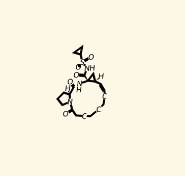 O=C1N[C@]2(C(=O)NS(=O)(=O)C3CC3)C[C@H]2/C=C\CCCCCCC(=O)N2CCC[C@@H]12